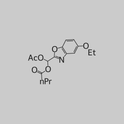 CCCC(=O)OC(OC(C)=O)c1nc2cc(OCC)ccc2o1